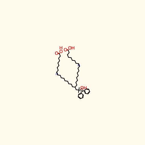 CC(C)(CC(CCCCCCCC/C=C\CCCCCCCC(=O)O)CCCCCCCC/C=C\CCCCCCCC(=O)O)[Si](O)(c1ccccc1)c1ccccc1